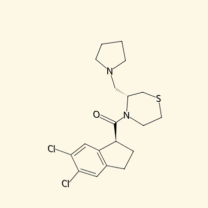 O=C([C@H]1CCc2cc(Cl)c(Cl)cc21)N1CCSC[C@H]1CN1CCCC1